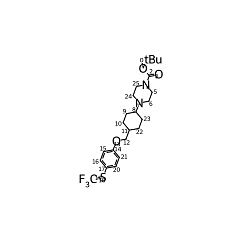 CC(C)(C)OC(=O)N1CCN(C2CCC(COc3ccc(SC(F)(F)F)cc3)CC2)CC1